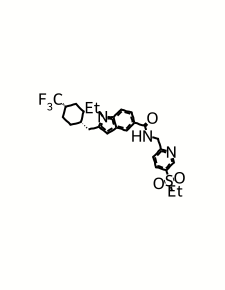 CCn1c(C[C@H]2CC[C@@H](C(F)(F)F)CC2)cc2cc(C(=O)NCc3ccc(S(=O)(=O)CC)cn3)ccc21